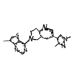 Cc1nn(C)cc1-c1cnc2c(c1)CN(c1ncnc3c(C)csc13)CC2